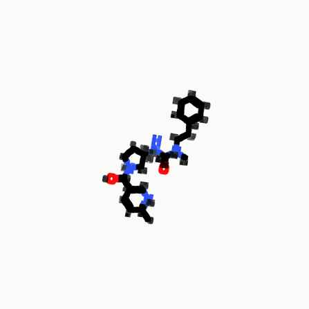 Cc1ccc(C(=O)N2CC[C@@H](NC(=O)N(C)CCc3ccccc3)C2)cn1